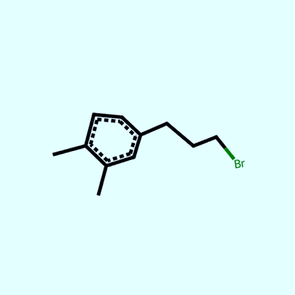 Cc1ccc(CCCBr)cc1C